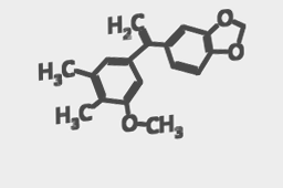 C=C(c1ccc2c(c1)OCO2)c1cc(C)c(C)c(OC)c1